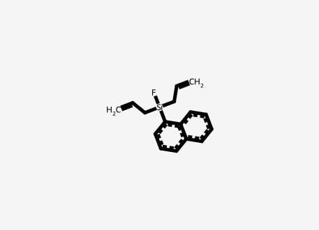 C=CC[Si](F)(CC=C)c1cccc2ccccc12